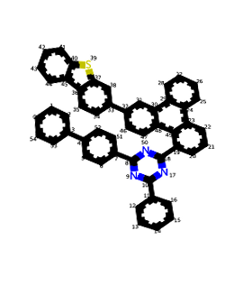 c1ccc(-c2ccc(-c3nc(-c4ccccc4)nc(-c4cccc5c6ccccc6c6cc(-c7ccc8c(c7)sc7ccccc78)ccc6c45)n3)cc2)cc1